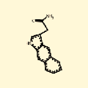 NC(=O)Cc1c[nH]c2cc3ccccc3cc12